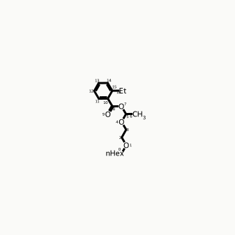 CCCCCCOCCOC(C)OC(=O)c1ccccc1CC